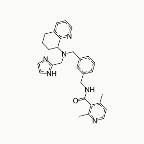 Cc1ccnc(C)c1C(=O)NCc1cccc(CN(Cc2ncc[nH]2)C2CCCc3cccnc32)c1